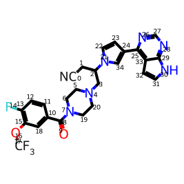 N#CCC(CN1CCN(C(=O)c2ccc(F)c(OC(F)(F)F)c2)CC1)n1ccc(-c2ncnc3[nH]ccc23)c1